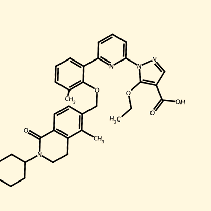 CCOc1c(C(=O)O)cnn1-c1cccc(-c2cccc(C)c2OCc2ccc3c(c2C)CCN(C2CCOCC2)C3=O)n1